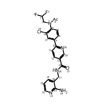 CC(=O)N(CC(F)F)c1ccc(-c2ccc(C(=O)NCc3cccnc3N)cn2)cc1Cl